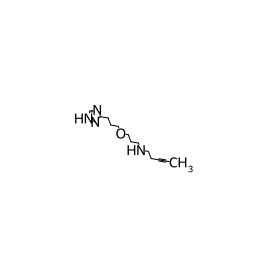 CC#CCCNCCCOCCCc1nc[nH]n1